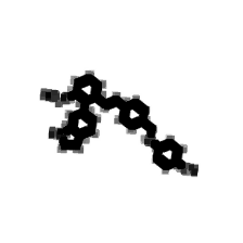 N#Cc1ccc(OCc2ccc(C=Cc3cccc(C(=O)O)c3-c3ccc4cc[nH]c4c3)cc2)cc1